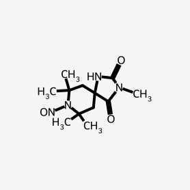 CN1C(=O)NC2(CC(C)(C)N(N=O)C(C)(C)C2)C1=O